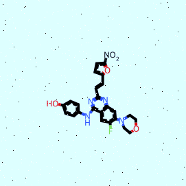 O=[N+]([O-])c1ccc(C=Cc2nc(Nc3ccc(O)cc3)c3cc(F)c(N4CCOCC4)cc3n2)o1